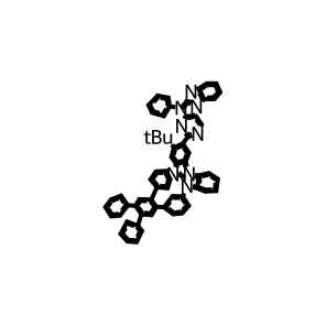 CC(C)(C)c1cc2nc3n(-c4cccc(-c5cc(-c6ccccc6)c(-c6ccccc6)cc5-c5ccccc5)c4)c4ccccc4n3c2cc1-c1ncc2c(n1)n(-c1ccccc1)c1nc3ccccc3n21